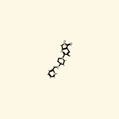 Cc1cc2c(nc1N1CCC(OCc3ccccn3)CC1)CNC2=O